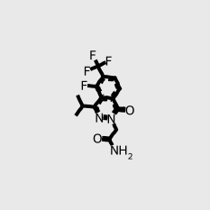 CC(C)c1nn(CC(N)=O)c(=O)c2ccc(C(F)(F)F)c(F)c12